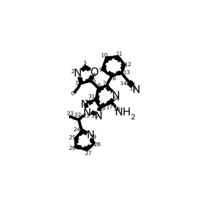 Cc1ncoc1-c1c(-c2ccccc2C#N)nc(N)c2nn(C(C)c3ccccn3)nc12